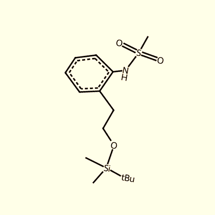 CC(C)(C)[Si](C)(C)OCCc1ccccc1NS(C)(=O)=O